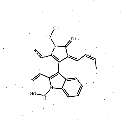 C=CC1=C(c2c(C=C)n(BO)c3ccccc23)/C(=C/C=C\C)C(=P)N1BO